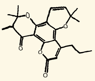 CCCc1cc(=O)oc2c3c(c4c(c12)OC(C)(C)C=C4)OC(C)(C)C(C)C3=O